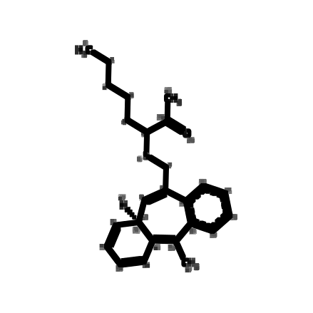 CCCCCC(SCC1=C[C@@H]2C=CC=CC2=C(C)c2ccccc21)C(C)=O